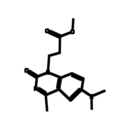 COC(=O)CCn1c(=O)nc(C)c2cc(N(C)C)ccc21